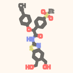 C#Cc1ccc(OC(C(=O)Nc2nc3cc(CO)c(CO)cc3s2)c2ccc(S(=O)(=O)CC)cc2)cc1